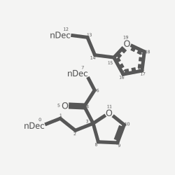 CCCCCCCCCCCCC1(C(=O)CCCCCCCCCCC)CC=CO1.CCCCCCCCCCCCc1ccco1